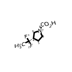 CC(F)(F)[C@H]1CCN(C(=O)O)C1